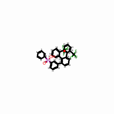 O=P(O)(c1ccccc1)c1cccc(-c2cccc(-c3ccccc3C(F)(F)F)c2-c2ccccc2C(F)(F)F)c1